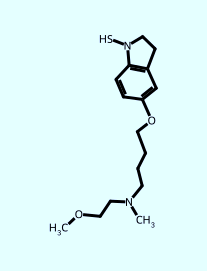 COCCN(C)CCCCOc1ccc2c(c1)CCN2S